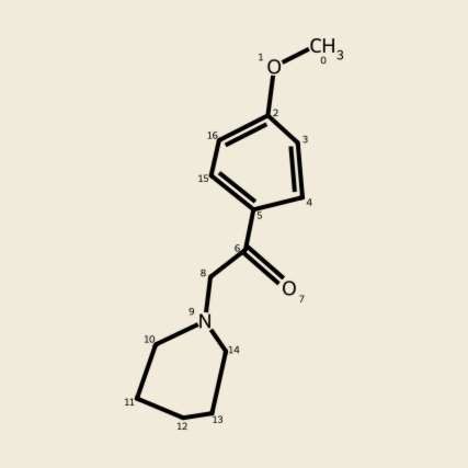 COc1ccc(C(=O)CN2CCCCC2)cc1